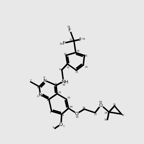 COc1cc2nc(C)nc(NCc3cccc(C(F)(F)F)c3)c2cc1OCCOC1(C)CC1